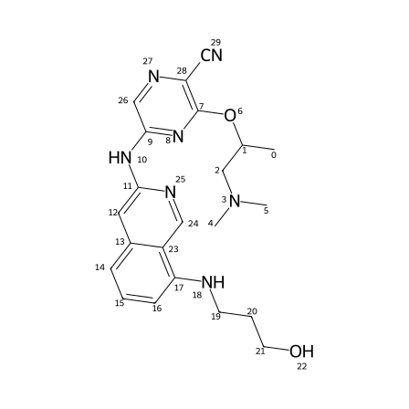 CC(CN(C)C)Oc1nc(Nc2cc3cccc(NCCCO)c3cn2)cnc1C#N